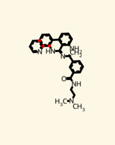 C=C(/N=C(/NCc1ccccn1)c1c(N)cccc1-c1ccccc1)c1cccc(C(=O)NCCN(C)C)c1